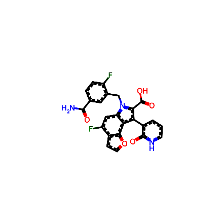 NC(=O)c1ccc(F)c(Cn2c(C(=O)O)c(-c3ccc[nH]c3=O)c3c4occc4c(F)cc32)c1